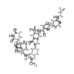 CN(CC1CCC(N2Cc3cc(NC(=O)c4coc(-c5ccnc(NCC6CC6)c5)n4)c(C(F)F)cc3C2=O)CC1)C1CN(Cc2cccc3c(C4CCC(=O)NC4=O)nn(C)c23)C1